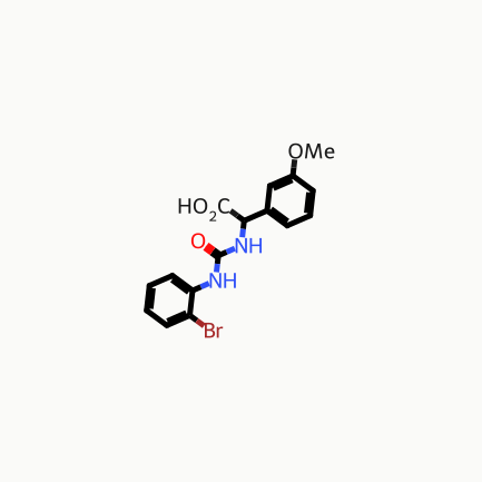 COc1cccc(C(NC(=O)Nc2ccccc2Br)C(=O)O)c1